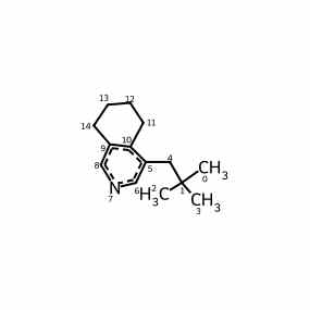 CC(C)(C)Cc1cncc2c1CCCC2